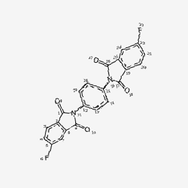 O=C1c2ccc(F)cc2C(=O)N1c1ccc(N2C(=O)c3ccc(F)cc3C2=O)cc1